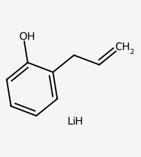 C=CCc1ccccc1O.[LiH]